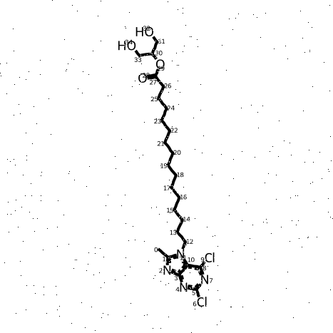 Cc1nc2nc(Cl)nc(Cl)c2n1CCCCCCCCCCCCCCCC(=O)OC(CO)CO